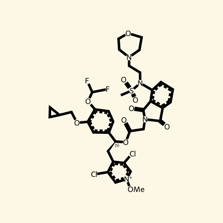 CO[n+]1cc(Cl)c(C[C@H](OC(=O)CN2C(=O)c3cccc(N(CCN4CCOCC4)S(C)(=O)=O)c3C2=O)c2ccc(OC(F)F)c(OCC3CC3)c2)c(Cl)c1